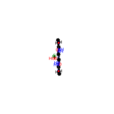 O=C(NCc1ccc(/C=C/c2ccc(CNC(=O)NC3CCC(CCN4[C@@H]5CC[C@H]4c4ccccc45)CC3)cc2)cc1)NC1CCC(CCN2[C@@H]3CC[C@H]2c2ccccc23)CC1.O=C(O)C(F)(F)F